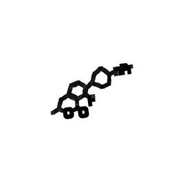 CCCC1CCC(c2ccc3c(c2F)C(=O)OC(C)C3)CC1